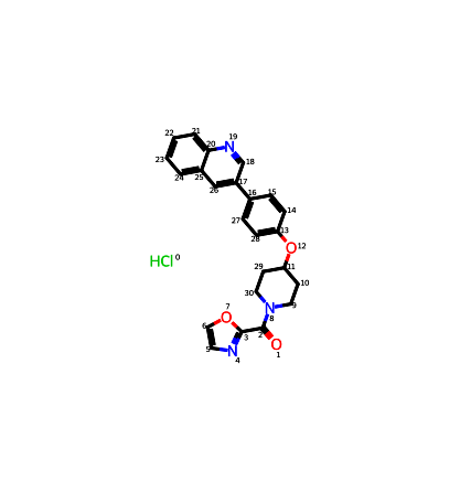 Cl.O=C(c1ncco1)N1CCC(Oc2ccc(-c3cnc4ccccc4c3)cc2)CC1